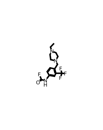 CCN1CCN(Cc2ccc(NC(=O)F)cc2C(F)(F)F)CC1